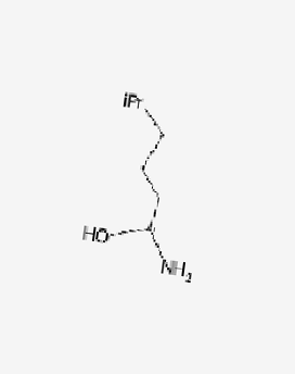 CC(C)CCC[C](N)O